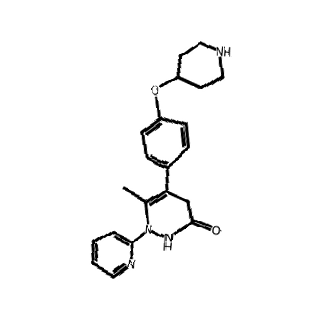 CC1=C(c2ccc(OC3CCNCC3)cc2)CC(=O)NN1c1ccccn1